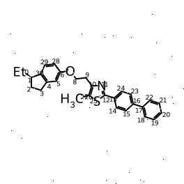 CC[C@@H]1CCc2cc(OCCc3nc(-c4ccc(-c5ccccc5)cc4)sc3C)ccc21